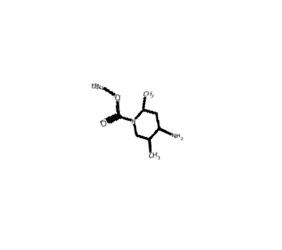 CC1CN(C(=O)OC(C)(C)C)C(C)CC1N